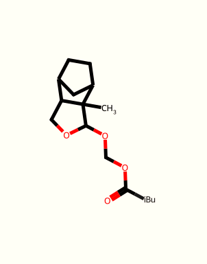 CCC(C)C(=O)OCOC1OCC2C3CCC(C3)C12C